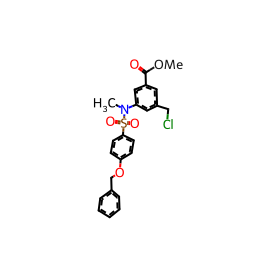 COC(=O)c1cc(CCl)cc(N(C)S(=O)(=O)c2ccc(OCc3ccccc3)cc2)c1